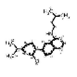 CC(C)CCNc1ncnc2ccc(-c3ccc(C(C)C)nc3Cl)cc12